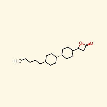 CCCCC[C@H]1CC[C@H](C2CCC(C3CC(=O)O3)CC2)CC1